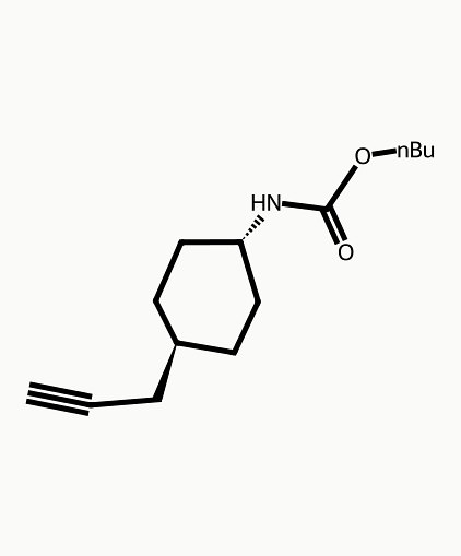 C#CC[C@H]1CC[C@H](NC(=O)OCCCC)CC1